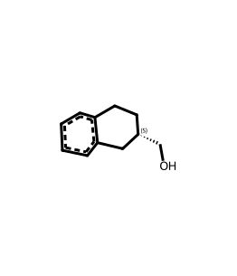 OC[C@H]1CCc2ccccc2C1